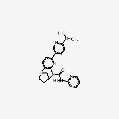 CN(C)c1ccc(-c2ccc3c(n2)N(C(=O)Nc2ccccn2)[C@H]2CCN3C2)cn1